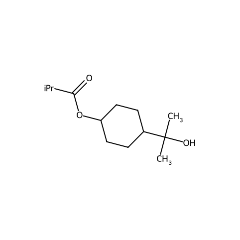 CC(C)C(=O)OC1CCC(C(C)(C)O)CC1